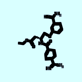 CCOC(=O)C[C@H](COc1cccc(C(=N)N)c1)NC(=O)c1ccc(C(=N)N)cc1